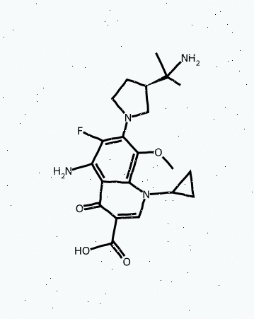 COc1c(N2CC[C@@H](C(C)(C)N)C2)c(F)c(N)c2c(=O)c(C(=O)O)cn(C3CC3)c12